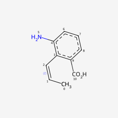 C/C=C\c1c(N)cccc1C(=O)O